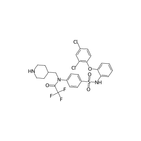 O=C(N(CC1CCNCC1)c1ccc(S(=O)(=O)Nc2ccccc2Oc2ccc(Cl)cc2Cl)cc1)C(F)(F)F